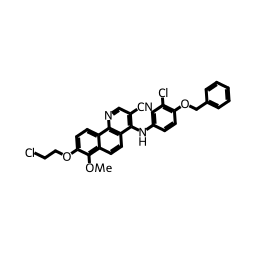 COc1c(OCCCl)ccc2c1ccc1c(Nc3ccc(OCc4ccccc4)c(Cl)c3)c(C#N)cnc12